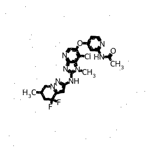 CC(=O)Nc1cc(Oc2cnc3nc(Nc4cc5n(n4)CC(C)CC5(F)F)n(C)c3c2Cl)ccn1